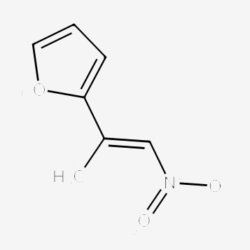 CC(=C[N+](=O)[O-])c1ccco1